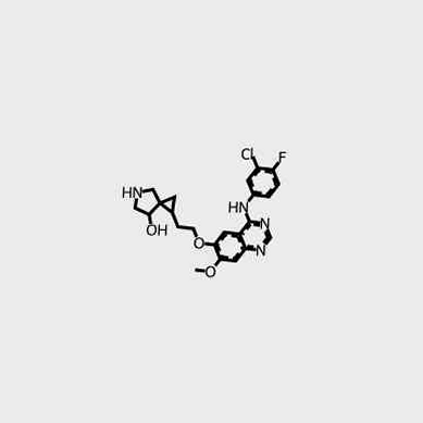 COc1cc2ncnc(Nc3ccc(F)c(Cl)c3)c2cc1OCCC1CC12CNCC2O